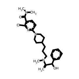 C=C(C(O)c1ccccc1)N(C)CCCC1CCN(c2ccc(C(=O)N(C)C)c(Cl)n2)CC1